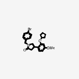 COc1ccc(C2CC(=O)N(Cc3ccc(Br)cc3)C2)c(OC2CCCC2)c1